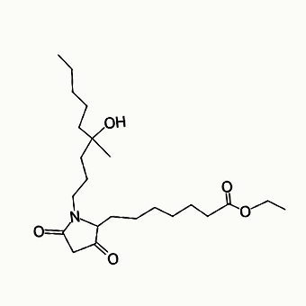 CCCCCC(C)(O)CCCN1C(=O)CC(=O)C1CCCCCCC(=O)OCC